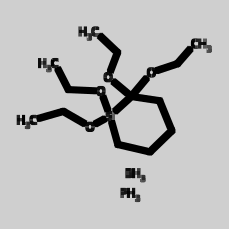 B.CCOC1(OCC)CCCC[Si]1(OCC)OCC.P